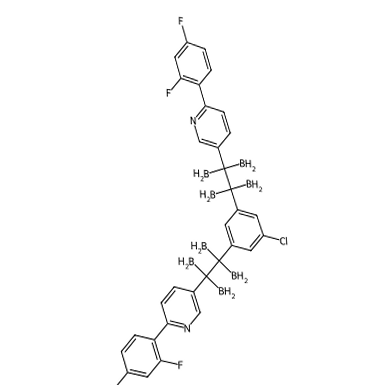 BC(B)(c1ccc(-c2ccc(F)cc2F)nc1)C(B)(B)c1cc(Cl)cc(C(B)(B)C(B)(B)c2ccc(-c3ccc(F)cc3F)nc2)c1